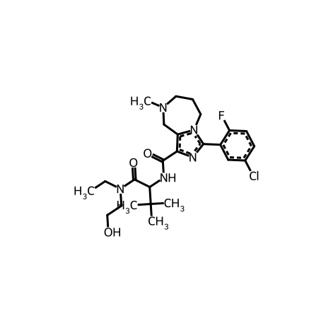 CCN(CCO)C(=O)C(NC(=O)c1nc(-c2cc(Cl)ccc2F)n2c1CN(C)CCC2)C(C)(C)C